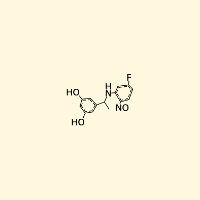 CC(Nc1cc(F)ccc1N=O)c1cc(O)cc(O)c1